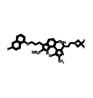 CCOC(=O)c1[nH]c2c(-c3c(C(O)CCN4CC(F)(F)C4)nn(C)c3CC)c(Cl)ccc2c1CCCOc1cccc2cc(F)ccc12